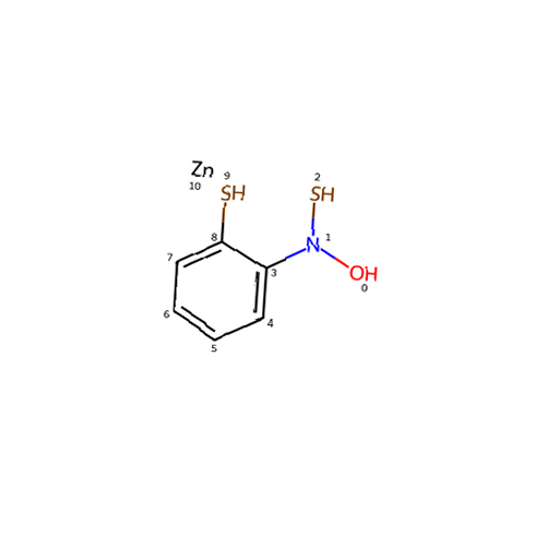 ON(S)c1ccccc1S.[Zn]